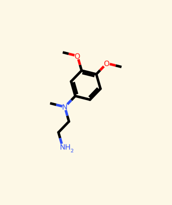 COc1ccc(N(C)CCN)cc1OC